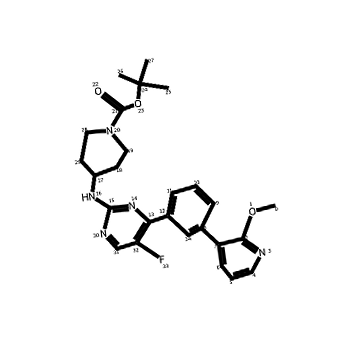 COc1ncccc1-c1cccc(-c2nc(NC3CCN(C(=O)OC(C)(C)C)CC3)ncc2F)c1